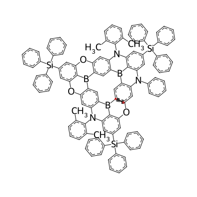 Cc1cccc(C)c1N1c2cc3c(cc2B2c4ccccc4Oc4cc([Si](c5ccccc5)(c5ccccc5)c5ccccc5)cc1c42)B1c2cc4c(cc2Oc2cc([Si](c5ccccc5)(c5ccccc5)c5ccccc5)cc(c21)O3)N(c1c(C)cccc1C)c1cc([Si](c2ccccc2)(c2ccccc2)c2ccccc2)cc2c1B4c1ccccc1N2c1ccccc1